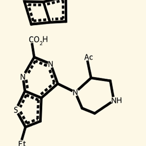 CCc1cc2c(N3CCNCC3C(C)=O)nc(C(=O)O)nc2s1.c1cc2ccc1-2